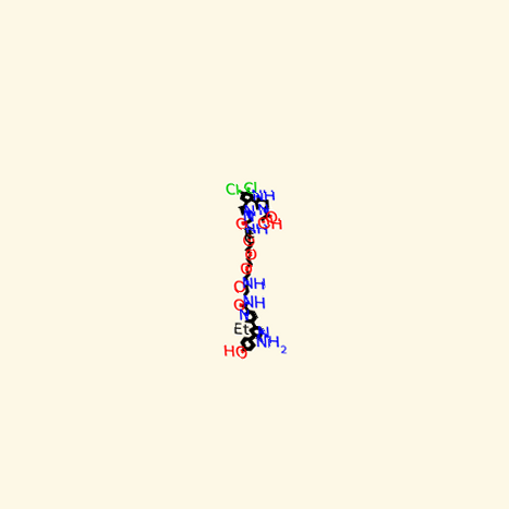 CCc1c(-c2ccc(C(=O)NCCC(=O)NCCOCCOCCOCCNC(=O)Cn3ccc(-c4cc(Cl)c(Cl)c5[nH]c6c(c45)CN(C(=O)CO)CC6)n3)nc2)cnc(N)c1-c1ccc(O)cc1